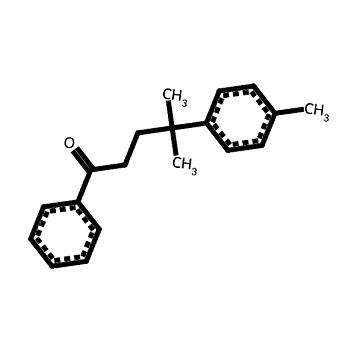 Cc1ccc(C(C)(C)CCC(=O)c2ccccc2)cc1